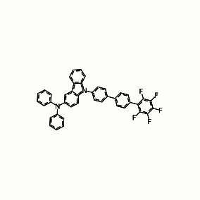 Fc1c(F)c(F)c(-c2ccc(-c3ccc(-n4c5ccccc5c5cc(N(c6ccccc6)c6ccccc6)ccc54)cc3)cc2)c(F)c1F